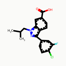 CC(C)Cn1nc(-c2ccc(Cl)c(F)c2)c2ccc(C(=O)O)cc21